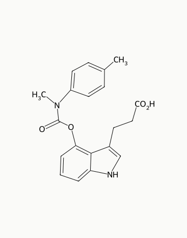 Cc1ccc(N(C)C(=O)Oc2cccc3[nH]cc(CCC(=O)O)c23)cc1